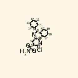 NS(=O)(=O)c1cc(N=C(c2ccccc2)c2ccccc2)cnc1Cl